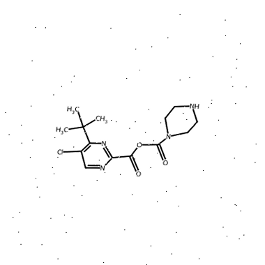 CC(C)(C)c1nc(C(=O)OC(=O)N2CCNCC2)ncc1Cl